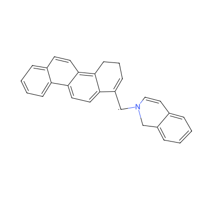 [CH](C1=CCCc2c1ccc1c2ccc2ccccc21)N1C=Cc2ccccc2C1